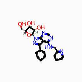 OC[C@H]1O[C@@H](n2nc(-c3ccccc3)c3c(NCc4ccccn4)ncnc32)[C@@H](O)[C@H]1O